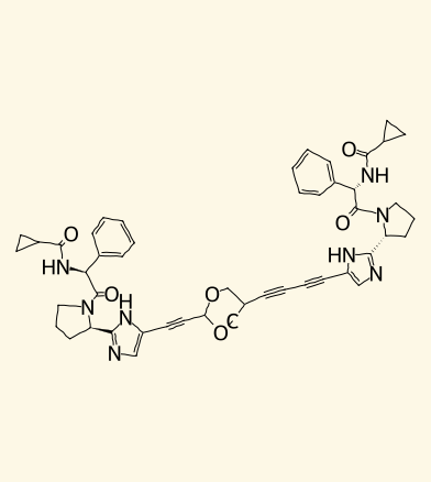 O=C(N[C@H](C(=O)N1CCC[C@@H]1c1ncc(C#CC#CC2COC(C#Cc3cnc([C@H]4CCCN4C(=O)[C@@H](NC(=O)C4CC4)c4ccccc4)[nH]3)OC2)[nH]1)c1ccccc1)C1CC1